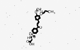 CCCOc1cc(/C=C/C(=O)c2ccc(S(=O)(=O)NCC(=O)O)cc2)ccc1OC